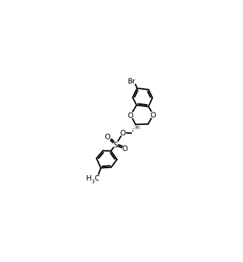 Cc1ccc(S(=O)(=O)OC[C@H]2COc3ccc(Br)cc3O2)cc1